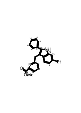 CCc1ccc2c(Cc3cccc(C(=O)OC)n3)c(-c3ccccc3)[nH]c2c1